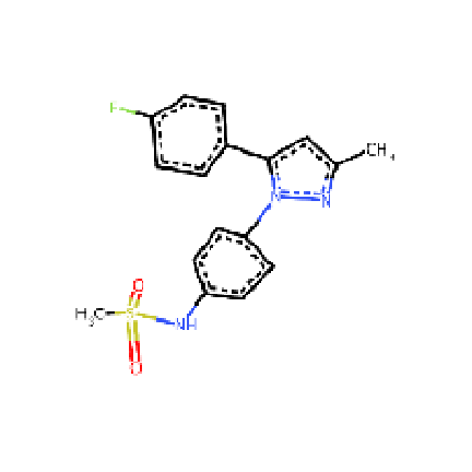 Cc1cc(-c2ccc(F)cc2)n(-c2ccc(NS(C)(=O)=O)cc2)n1